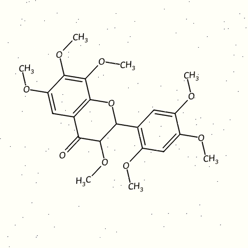 COc1cc(OC)c(C2Oc3c(cc(OC)c(OC)c3OC)C(=O)C2OC)cc1OC